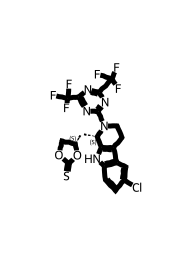 FC(F)(F)c1nc(N2CCc3c([nH]c4ccc(Cl)cc34)[C@@H]2C[C@H]2COC(=S)O2)nc(C(F)(F)F)n1